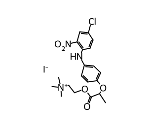 CC(Oc1ccc(Nc2ccc(Cl)cc2[N+](=O)[O-])cc1)C(=O)OCC[N+](C)(C)C.[I-]